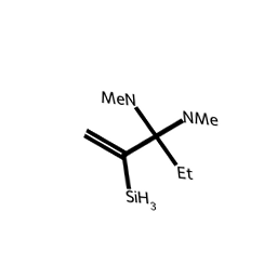 C=C([SiH3])C(CC)(NC)NC